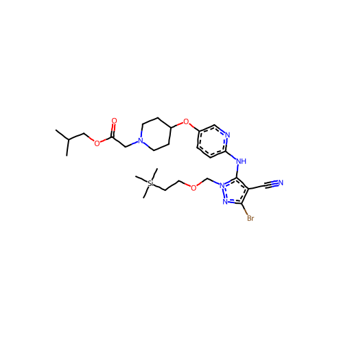 CC(C)COC(=O)CN1CCC(Oc2ccc(Nc3c(C#N)c(Br)nn3COCC[Si](C)(C)C)nc2)CC1